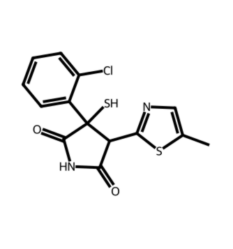 Cc1cnc(C2C(=O)NC(=O)C2(S)c2ccccc2Cl)s1